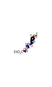 CCOC(=O)c1cnc(N2CC(NC(=O)c3cnc4cc(OC(F)F)c(F)cc4c3)C2)o1